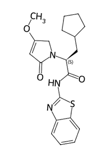 COC1=CC(=O)N([C@@H](CC2CCCC2)C(=O)Nc2nc3ccccc3s2)C1